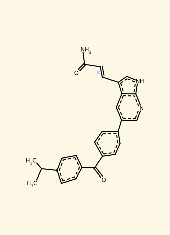 CC(C)c1ccc(C(=O)c2ccc(-c3cnc4[nH]cc(/C=C/C(N)=O)c4c3)cc2)cc1